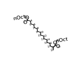 CCCCCCCCOC(=O)CCCCCCCCCCCCCCC(C)C(=O)OCCCCCCCC